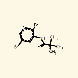 CC(C)(C)C(=O)Nc1cc(Br)cnc1Br